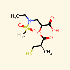 CCN(CC(OC(=O)[C@H](C)CS)C(=O)O)S(C)(=O)=O